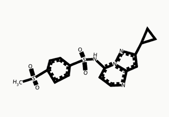 CS(=O)(=O)c1ccc(S(=O)(=O)Nc2ccnc3cc(C4CC4)nn23)cc1